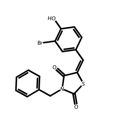 O=C1SC(=Cc2ccc(O)c(Br)c2)C(=O)N1Cc1ccccc1